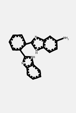 Nc1ccc2[nH]c(-c3ccccc3-c3nc4ccccc4[nH]3)nc2c1